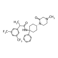 CC(C(=O)N[C@]1(c2ccccc2)CC[C@@H](N2CCN(C)CC2=O)CC1)c1cc(C(F)(F)F)cc(C(F)(F)F)c1